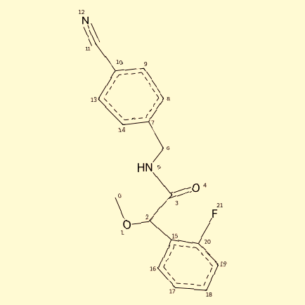 COC(C(=O)NCc1ccc(C#N)cc1)c1ccccc1F